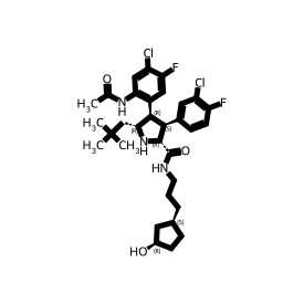 CC(=O)Nc1cc(Cl)c(F)cc1[C@H]1[C@@H](c2ccc(F)c(Cl)c2)[C@H](C(=O)NCCC[C@H]2CC[C@@H](O)C2)N[C@@H]1CC(C)(C)C